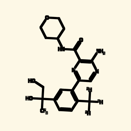 [2H]C([2H])([2H])c1ccc(C(O)(CO)C(F)(F)F)cc1-c1cnc(N)c(C(=O)NC2CCOCC2)n1